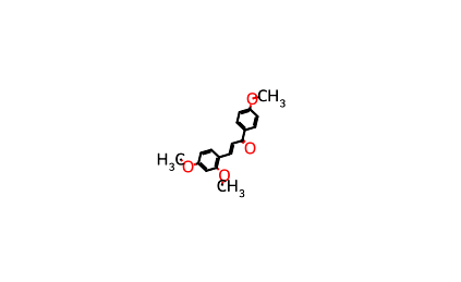 COc1ccc(C(=O)/C=C/c2ccc(OC)cc2OC)cc1